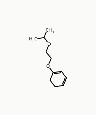 CC(C)OCCOC1=CC=CCC1